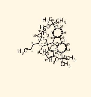 CCC[CH2][Zr]1([CH2]C(CC)(C2=CC=CC2)C2c3cc(C(C)(C)C)ccc3-c3ccc(C(C)(C)C)cc32)[CH2][CH]1C